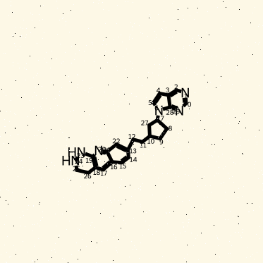 c1ncc2ccn(C3CCC(CCc4ccc5cc6c(nc5c4)NNCC6)C3)c2n1